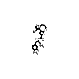 NCC(Cc1ccc(P)c(F)c1)NC(=O)c1cc2c(s1)OCCCn1ncc(Br)c1-2